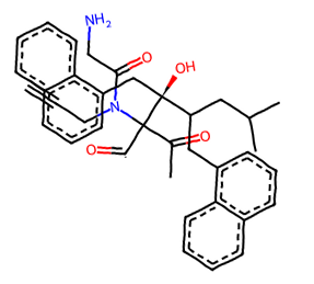 C#CCN(C(=O)CN)C([C]=O)(C(C)=O)[C@](O)(Cc1cccc2ccccc12)C(Cc1cccc2ccccc12)CC(C)C